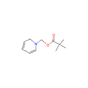 CC(C)(C)C(=O)OCN1C=CC=CC1